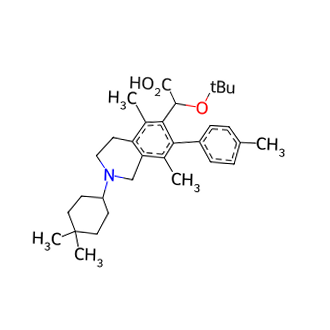 Cc1ccc(-c2c(C)c3c(c(C)c2C(OC(C)(C)C)C(=O)O)CCN(C2CCC(C)(C)CC2)C3)cc1